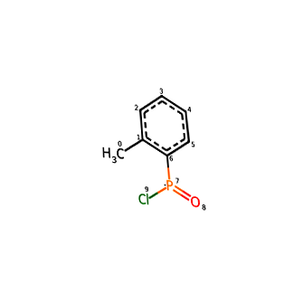 Cc1ccccc1[P](=O)Cl